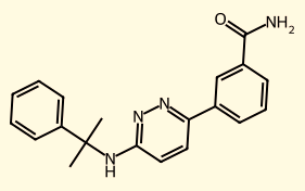 CC(C)(Nc1ccc(-c2cccc(C(N)=O)c2)nn1)c1ccccc1